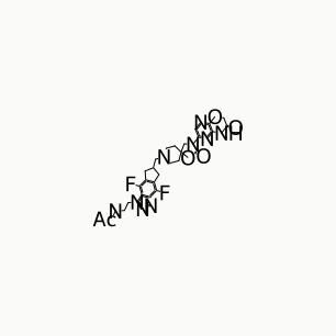 CC(=O)N(C)CCn1nnc2c(F)c3c(c(F)c21)CC(CN1CCC2(CC1)CN(c1cnc4c(n1)NC(=O)CO4)C(=O)O2)C3